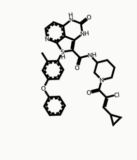 Cc1cc(Oc2ccccc2)ccc1[SH]1C(C(=O)NC2CCCN(C(=O)C(Cl)=CC3CC3)C2)=C2NC(=O)Nc3ccnc1c32